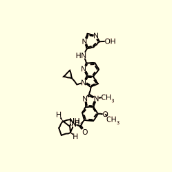 COc1cc(C(=O)N2C[C@H]3CC[C@@H]2[C@@H]3N)cc2nc(-c3cc4ccc(Nc5cc(O)ncn5)nc4n3CC3CC3)n(C)c12